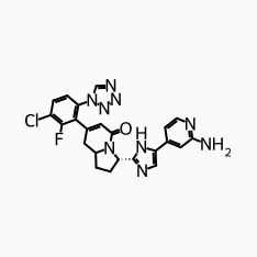 Nc1cc(-c2cnc([C@@H]3CCC4CC(c5c(-n6cnnn6)ccc(Cl)c5F)=CC(=O)N43)[nH]2)ccn1